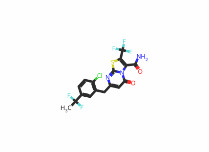 CC(F)(F)c1ccc(Cl)c(Cc2cc(=O)n3c(C(N)=O)c(C(F)(F)F)sc3n2)c1